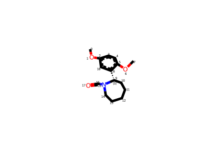 COc1ccc(OC)c([C@@H]2CCCCCN2C=O)c1